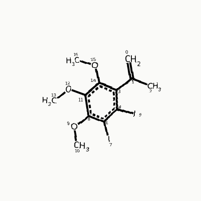 C=C(C)c1c(I)c(I)c(OC)c(OC)c1OC